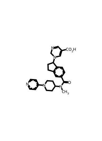 CN(C(=O)c1ccc2c(c1)CCC2N1C=C(C(=O)O)C=NC1)C1CCN(c2ccncc2)CC1